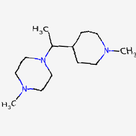 CC(C1CCN(C)CC1)N1CCN(C)CC1